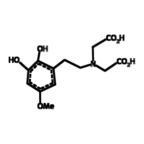 COc1cc(O)c(O)c(CCN(CC(=O)O)CC(=O)O)c1